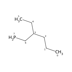 CCCC(CC)CP